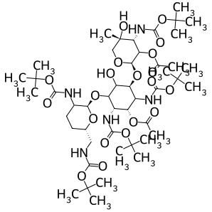 CC(=O)OC1[C@@H](O[C@@H]2C(O)C(O[C@H]3O[C@H](CNC(=O)OC(C)(C)C)CCC3NC(=O)OC(C)(C)C)[C@@H](NC(=O)OC(C)(C)C)[C@@H](OC(C)=O)C2NC(=O)OC(C)(C)C)OC[C@](C)(O)[C@@H]1NC(=O)OC(C)(C)C